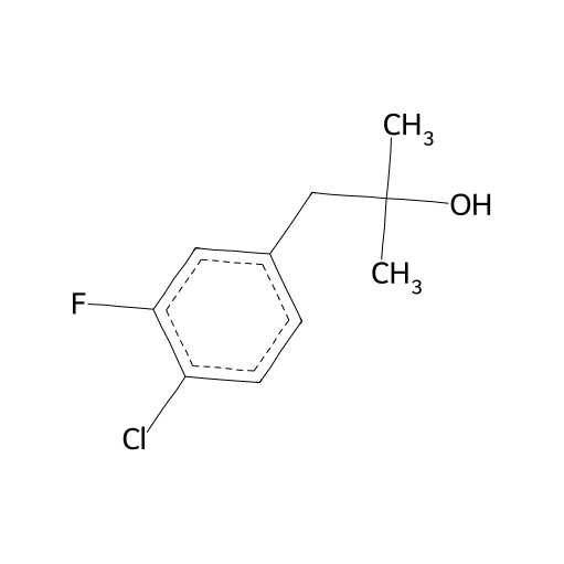 CC(C)(O)Cc1ccc(Cl)c(F)c1